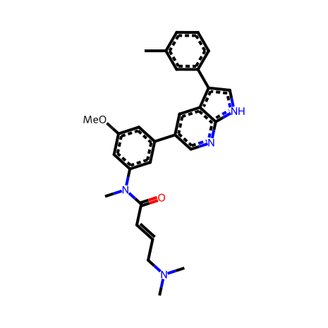 COc1cc(-c2cnc3[nH]cc(-c4cccc(C)c4)c3c2)cc(N(C)C(=O)/C=C/CN(C)C)c1